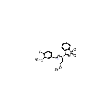 CCOCCN(/N=C/c1ccc(F)c(OC)c1)C1=NS(=O)(=O)c2ccccc21